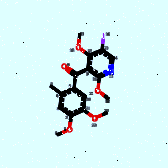 COc1cc(C)c(C(=O)c2c(OC)ncc(I)c2OC)cc1OC